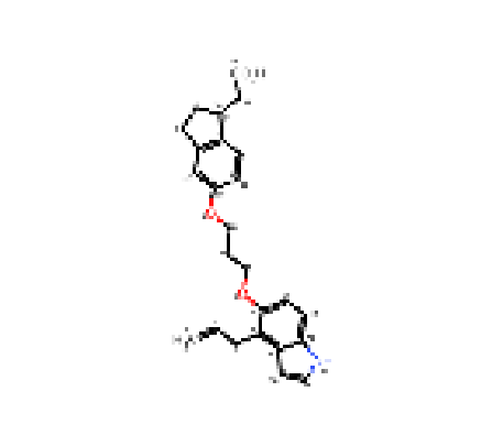 C=CCc1c(OCCCOc2ccc3c(c2)CC[C@H]3CC(=O)O)ccc2[nH]ccc12